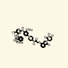 COc1cc(N2CCC(NC(=O)CSc3cccc4c3CN(C3CCC(=O)NC3=O)C4=O)CC2)ccc1Nc1ncc(Cl)c(Nc2ccccc2P(=O)(OC)OC)n1